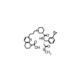 COC(=O)C[C@H](NC(=O)[C@@H]1CCCN(CCCc2ccc3c(n2)N(C(=O)O)CCC3)C1)c1cccc(C2CC2)c1